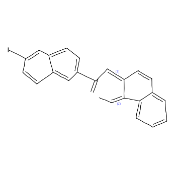 C=C(/C=c1/ccc2ccccc2/c1=C/C)c1ccc2cc(I)ccc2c1